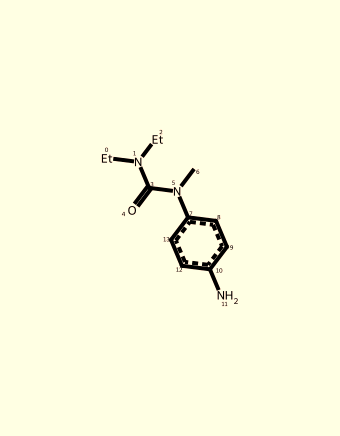 CCN(CC)C(=O)N(C)c1ccc(N)cc1